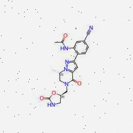 CC(=O)Nc1cc(C#N)ccc1-c1cc2n(n1)[C@@H](C)CN(C[C@H]1CNC(=O)O1)C2=O